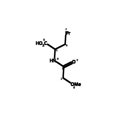 COCC(=O)NC(CC(C)C)C(=O)O